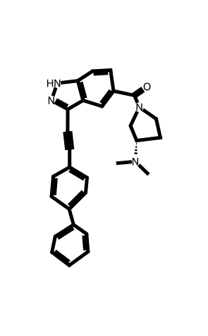 CN(C)[C@H]1CCN(C(=O)c2ccc3[nH]nc(C#Cc4ccc(-c5ccccc5)cc4)c3c2)C1